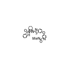 CNC(=O)c1cc(Oc2ccc3nc(N[C@H]4CCCC[C@H]4NC(=O)c4ccccc4)sc3c2)ccn1